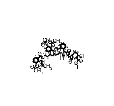 CC(=O)Oc1cccc(C(=O)NCCCCN(CC(=O)N[C@@H](C(=O)N[C@@H]2C(=O)N3C(C(=O)O)=C(Cl)CC[C@H]23)c2ccccc2)C(=O)c2cccc(OC(C)=O)c2OC(C)=O)c1OC(C)=O